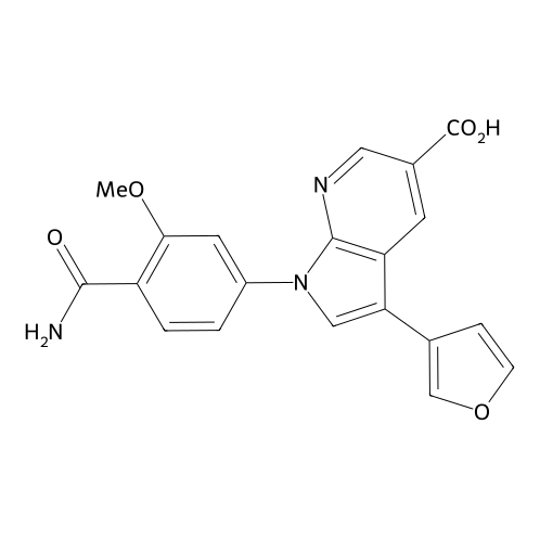 COc1cc(-n2cc(-c3ccoc3)c3cc(C(=O)O)cnc32)ccc1C(N)=O